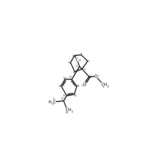 COC(=O)C12CCC(CC1)CC2c1ccc(C(C)C)cc1